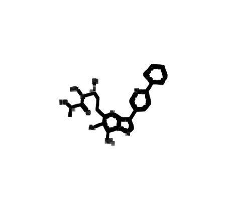 CCCN(C(=O)[C@@H](C)O)[C@H](CC)CCc1nc2c(-c3ccc(-c4ccccc4)nc3)cnn2c(N)c1C(C)=O